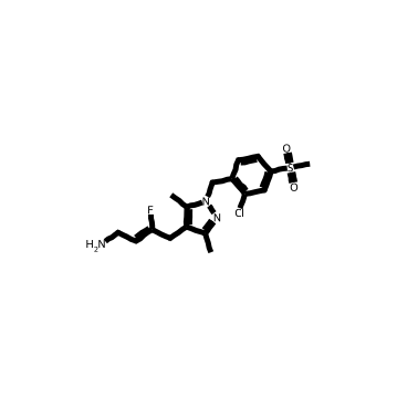 Cc1nn(Cc2ccc(S(C)(=O)=O)cc2Cl)c(C)c1C/C(F)=C/CN